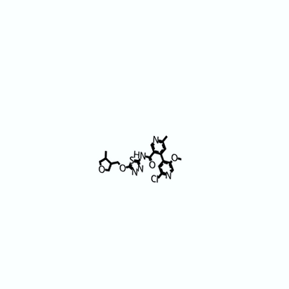 COc1cnc(Cl)cc1-c1cc(C)ncc1C(=O)Nc1nnc(OCC2COCC2C)s1